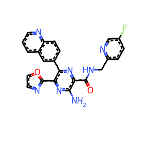 Nc1nc(-c2ncco2)c(-c2ccc3ncccc3c2)nc1C(=O)NCc1ccc(F)cn1